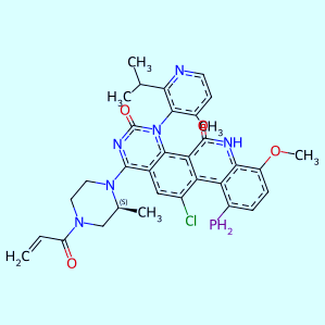 C=CC(=O)N1CCN(c2nc(=O)n(-c3c(C)ccnc3C(C)C)c3c2cc(Cl)c2c4c(P)ccc(OC)c4[nH]c(=O)c23)[C@@H](C)C1